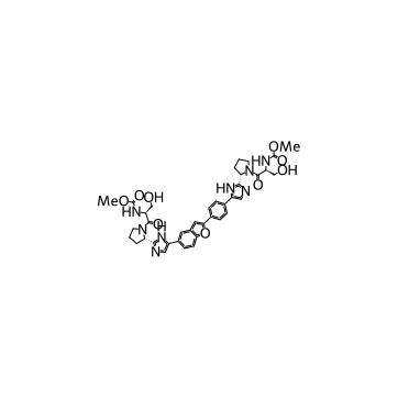 COC(=O)N[C@@H](CO)C(=O)N1CCC[C@H]1c1ncc(-c2ccc(-c3cc4cc(-c5cnc([C@@H]6CCCN6C(=O)[C@H](CO)NC(=O)OC)[nH]5)ccc4o3)cc2)[nH]1